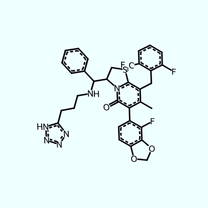 Cc1c(Cc2c(F)cccc2C(F)(F)F)c2n(c(=O)c1-c1ccc3c(c1F)OCO3)C(C(NCCCc1nnn[nH]1)c1ccccc1)CS2